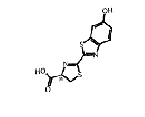 O=C(O)[C@@H]1CSC(c2nc3ccc(O)cc3s2)=N1